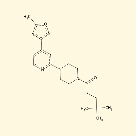 Cc1nc(-c2ccnc(N3CCN(C(=O)CCC(C)(C)C)CC3)c2)no1